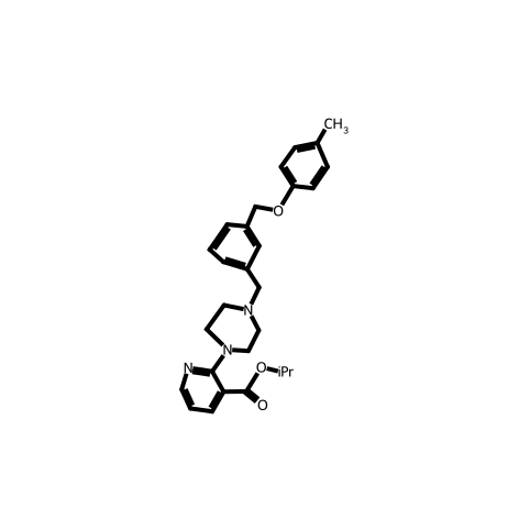 Cc1ccc(OCc2cccc(CN3CCN(c4ncccc4C(=O)OC(C)C)CC3)c2)cc1